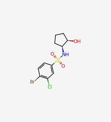 O=S(=O)(N[C@H]1CCC[C@H]1O)c1ccc(Br)c(Cl)c1